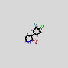 COc1ncccc1-c1ccc(Cl)c(F)c1